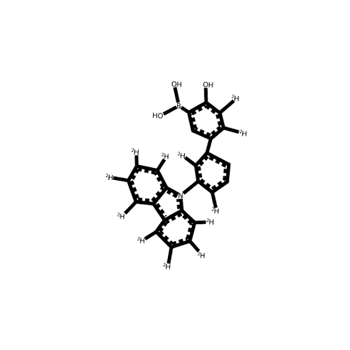 [2H]c1ccc(-c2cc(B(O)O)c(O)c([2H])c2[2H])c([2H])c1-n1c2c([2H])c([2H])c([2H])c([2H])c2c2c([2H])c([2H])c([2H])c([2H])c21